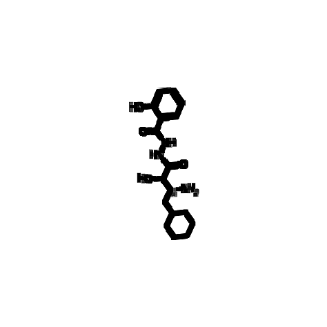 N[C@H](CC1CCCCC1)C(O)C(=O)NNC(=O)c1ccccc1O